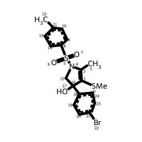 CSC1=C(C)N(S(=O)(=O)c2ccc(C)cc2)CC1(O)c1ccc(Br)cc1